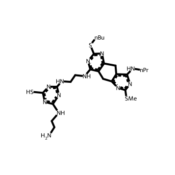 CCCCSc1nc2c(c(NCCNc3nc(S)nc(NCCN)n3)n1)Cc1nc(SC)nc(NCCC)c1C2